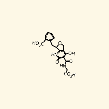 O=C(O)CNC(=O)c1c(O)c2c([nH]c1=O)C(Cc1ccccc1C(=O)O)OC2